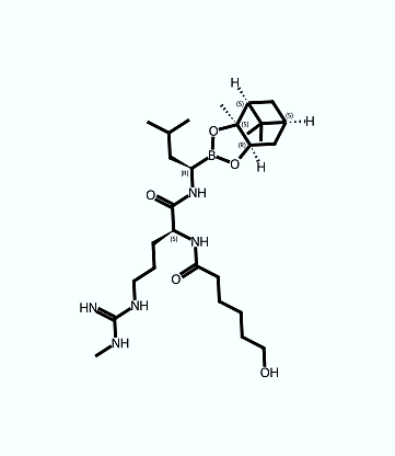 CNC(=N)NCCC[C@H](NC(=O)CCCCCO)C(=O)N[C@@H](CC(C)C)B1O[C@@H]2C[C@@H]3C[C@@H](C3(C)C)[C@]2(C)O1